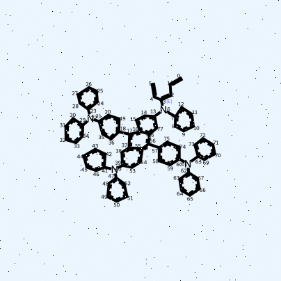 C=C/C=C(\C=C)N(c1ccccc1)c1ccc2c(-c3ccc(N(c4ccccc4)c4ccccc4)cc3)c3cc(N(c4ccccc4)c4ccccc4)ccc3c(-c3ccc(N(c4ccccc4)c4ccccc4)cc3)c2c1